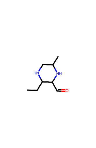 CCC1NCC(C)NC1C=O